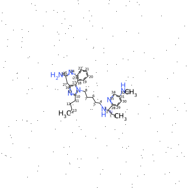 C/C=C(/NCCCCCn1c(CCCC)nc2c1-c1ccccc1N=C(N)C2)c1ccc(NC)cn1